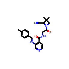 Cc1ccc(CNc2cnccc2C(=O)NCC(=O)N2CC(C)(C)C2C#N)cc1